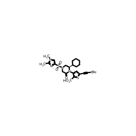 Cc1nc(S(=O)(=O)N2CC(=O)N(c3cc(C#CC(C)(C)C)sc3C(=O)O)[C@H](C3CCCCC3)C2)cn1C